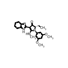 CC[C@H]1C(=O)C(c2nc3ccccc3[nH]2)=C(NC)N1c1cc(OC)cc(OC)c1